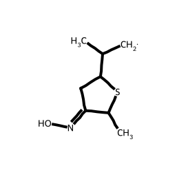 [CH2]C(C)C1CC(=NO)C(C)S1